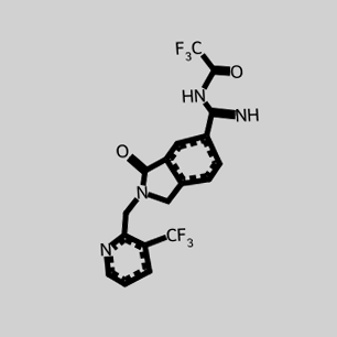 N=C(NC(=O)C(F)(F)F)c1ccc2c(c1)C(=O)N(Cc1ncccc1C(F)(F)F)C2